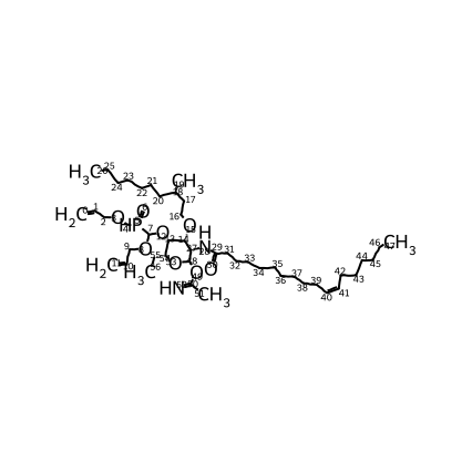 C=CCOC[PH](=O)C(OCC=C)O[C@H]1[C@H](OCC[C@H](C)CCCCCCC)[C@@H](NC(=O)CCCCCCCCC/C=C\CCCCCC)C(OC(C)=N)O[C@@H]1CC